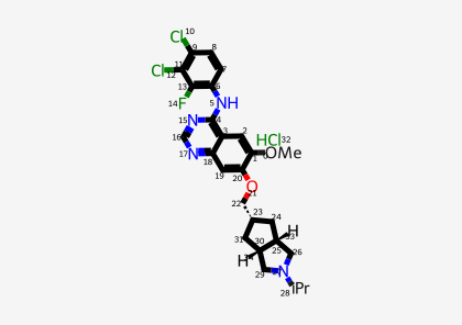 COc1cc2c(Nc3ccc(Cl)c(Cl)c3F)ncnc2cc1OC[C@@H]1C[C@@H]2CN(C(C)C)C[C@@H]2C1.Cl